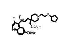 COc1ccc2ncc(F)c([C@@H](F)CCC3(CC(=O)O)CCN(CCSC4CCCC4)CC3)c2c1